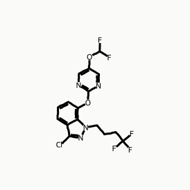 FC(F)Oc1cnc(Oc2cccc3c(Cl)nn(CCCC(F)(F)F)c23)nc1